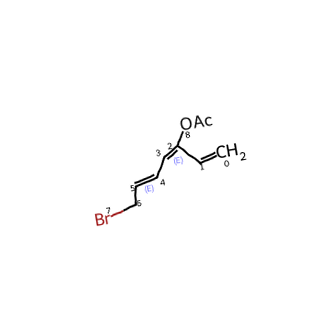 C=C/C(=C\C=C\CBr)OC(C)=O